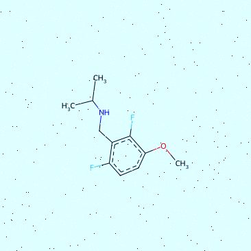 COc1ccc(F)c(CNC(C)C)c1F